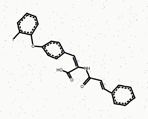 O=C(/C=C/c1ccccc1)N/C(=C/c1ccc(Oc2ccccc2I)cc1)C(=O)O